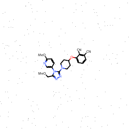 COCc1nnc(N2CCC(Oc3cccc(C#N)c3C#N)CC2)n1-c1ccc(OC)nc1